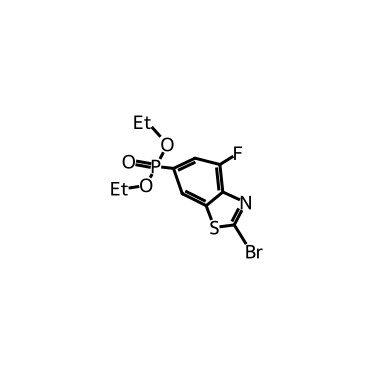 CCOP(=O)(OCC)c1cc(F)c2nc(Br)sc2c1